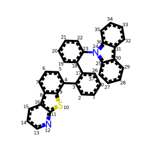 c1ccc(-c2cccc3c2sc2ncccc23)c(-c2ccccc2-n2c3ccccc3c3ccccc32)c1